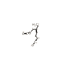 CCC(=CCN=C=O)CN=C=O